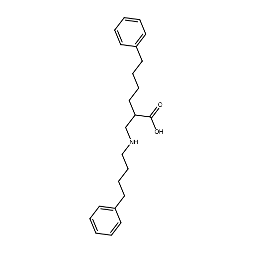 O=C(O)C(CCCCc1ccccc1)CNCCCCc1ccccc1